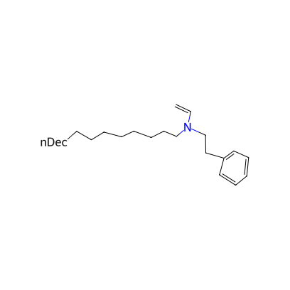 C=CN(CCCCCCCCCCCCCCCCCC)CCc1ccccc1